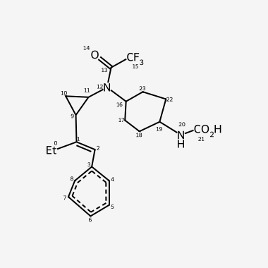 CCC(=Cc1ccccc1)C1CC1N(C(=O)C(F)(F)F)C1CCC(NC(=O)O)CC1